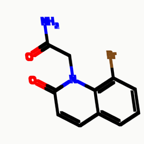 NC(=O)Cn1c(=O)ccc2cccc(Br)c21